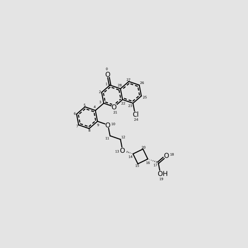 O=c1cc(-c2ccccc2OCCO[C@H]2C[C@@H](C(=O)O)C2)oc2c(Cl)cccc12